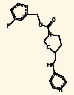 O=C(OCc1cccc(F)c1)N1CCC(CNc2ccncc2)CC1